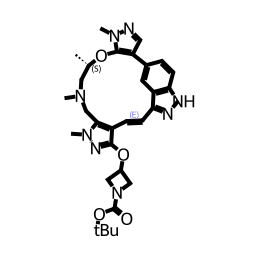 C[C@H]1CN(C)Cc2c(c(OC3CN(C(=O)OC(C)(C)C)C3)nn2C)/C=C/c2n[nH]c3ccc(cc23)-c2cnn(C)c2O1